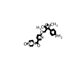 CC1=C(COc2ccc(C(=O)N3CC[S+]([O-])CC3)cn2)C(c2ccc(P)cc2)N(C)O1